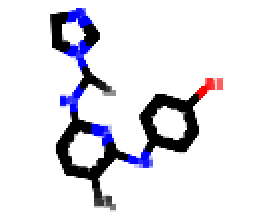 CCC(Nc1ccc([N+](=O)[O-])c(Nc2ccc(O)cc2)n1)n1ccnc1